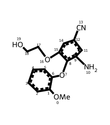 COc1ccccc1Oc1c(N)cc(C#N)cc1OCCO